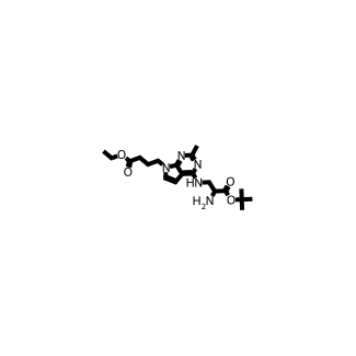 CCOC(=O)CCCn1ccc2c(NCC(N)C(=O)OC(C)(C)C)nc(C)nc21